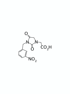 O=C(O)CN1CC(=O)N(Cc2cccc([N+](=O)[O-])c2)C1=O